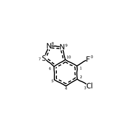 Fc1c(Cl)ccc2snnc12